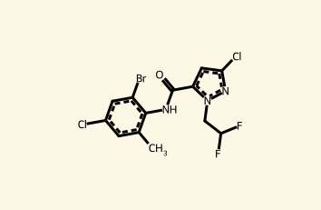 Cc1cc(Cl)cc(Br)c1NC(=O)c1cc(Cl)nn1CC(F)F